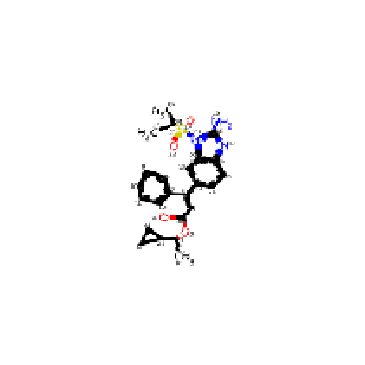 CC(OC(=O)/C=C(\c1ccccc1)c1ccc2nc(N)n(S(=O)(=O)C(C)C)c2c1)C1CC1